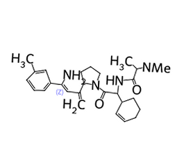 C=C(/C=C(\N)c1cccc(C)c1)C1CCCN1C(=O)C(NC(=O)C(C)NC)C1C=CCCC1